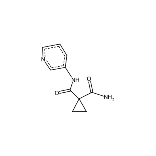 NC(=O)C1(C(=O)Nc2cccnc2)CC1